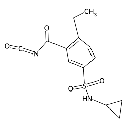 CCc1ccc(S(=O)(=O)NC2CC2)cc1C(=O)N=C=O